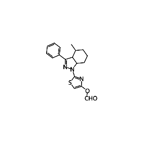 CC1CCCC2C1C(c1ccccc1)=NN2c1nc(OC=O)cs1